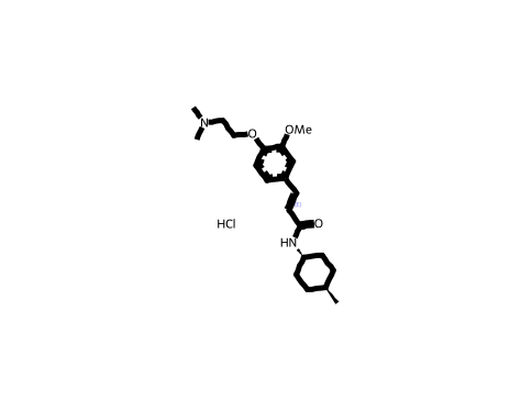 COc1cc(/C=C/C(=O)N[C@H]2CC[C@H](C)CC2)ccc1OCCN(C)C.Cl